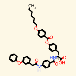 CCCCCCCOc1ccc(C(=O)Oc2ccc(C[C@H](NC(=O)c3ccc(NC(=O)Cc4cccc(Oc5ccccc5)c4)cc3)C(=O)O)cc2)cc1